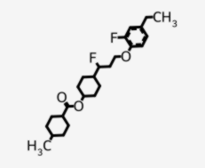 CCc1ccc(OCCC(F)C2CCC(OC(=O)C3CCC(C)CC3)CC2)c(F)c1